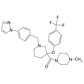 CN1CCN(C(=O)C2(Oc3ccc(C(F)(F)F)cc3)CCCN(Cc3ccc(-n4cccn4)cc3)C2)CC1